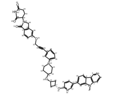 Cn1c2ccncc2c2ccc(-c3ccc(O[C@H]4C[C@H](OC5CCN(c6cccc(C#CCOc7ccc8c(c7)CN(C7CCC(=O)NC7=O)C8=O)c6)CC5)C4)nc3)cc21